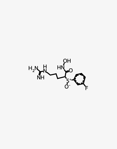 N=C(N)NCCCC(C(=O)NO)[S+]([O-])c1cccc(F)c1